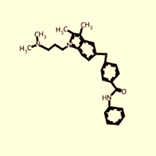 Cc1c(C)n(CCCN(C)C)c2ccc(Cc3ccc(C(=O)Nc4ccccc4)cc3)cc12